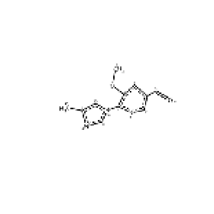 COc1cc(C=O)cnc1-n1cnc(C)c1